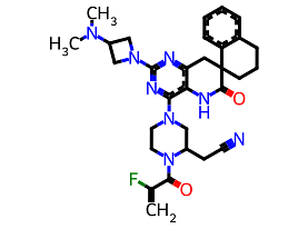 C=C(F)C(=O)N1CCN(c2nc(N3CC(N(C)C)C3)nc3c2NC(=O)C2(CCCc4ccccc42)C3)CC1CC#N